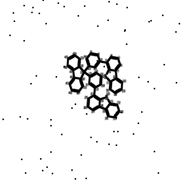 c1cc(-c2cccc3c2sc2ccccc23)cc(C2(c3cccc(-c4cccc5c4sc4ccccc45)c3)c3ccccc3-c3ccccc32)c1